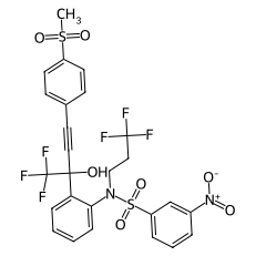 CS(=O)(=O)c1ccc(C#CC(O)(c2ccccc2N(CCC(F)(F)F)S(=O)(=O)c2cccc([N+](=O)[O-])c2)C(F)(F)F)cc1